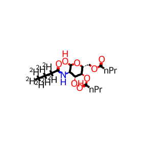 [2H]C([2H])([2H])C([2H])([2H])C([2H])([2H])C(=O)N[C@H]1C(O)O[C@H](COC(=O)CCC)[C@@H](OC(=O)CCC)[C@@H]1O